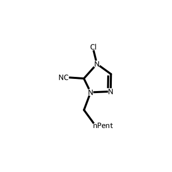 CCCCCCN1N=CN(Cl)C1C#N